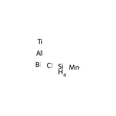 [Al].[B].[C].[Mn].[SiH4].[Ti]